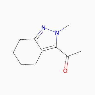 CC(=O)c1c2c(nn1C)CCCC2